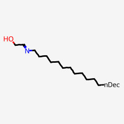 CCCCCCCCCCCCCCCCCCCCCCN=CCO